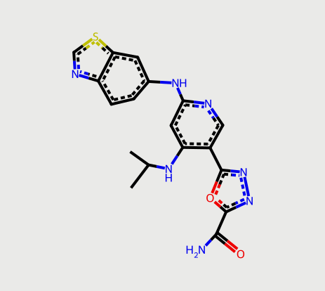 CC(C)Nc1cc(Nc2ccc3ncsc3c2)ncc1-c1nnc(C(N)=O)o1